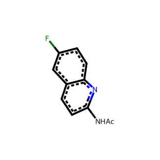 CC(=O)Nc1ccc2cc(F)ccc2n1